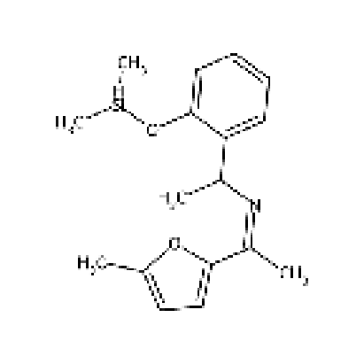 CC(=NC(C)c1ccccc1O[SiH](C)C)c1ccc(C)o1